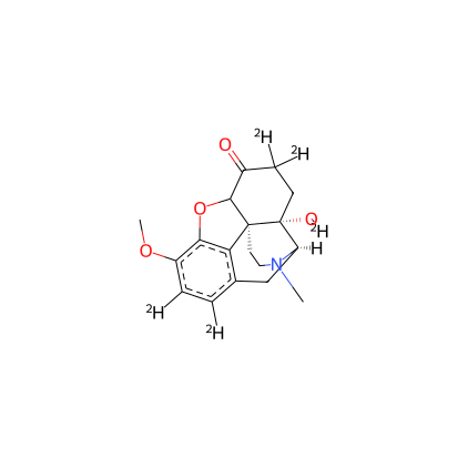 [2H]O[C@@]12CC([2H])([2H])C(=O)C3Oc4c(OC)c([2H])c([2H])c5c4[C@@]31CCN(C)[C@@H]2C5